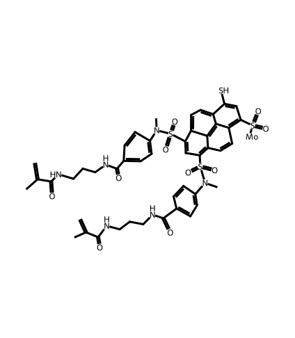 C=C(C)C(=O)NCCCNC(=O)c1ccc(N(C)S(=O)(=O)c2cc(S(=O)(=O)N(C)c3ccc(C(=O)NCCCNC(=O)C(=C)C)cc3)c3ccc4c([S](=O)(=O)[Mo])cc(S)c5ccc2c3c54)cc1